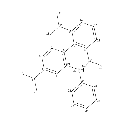 CC(C)c1ccc(-c2c(C(C)C)cccc2C(C)C)c(Pc2ccccc2)c1